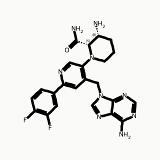 NC(=O)[C@@H]1[C@H](N)CCCN1c1cnc(-c2ccc(F)c(F)c2)cc1Cn1cnc2c(N)ncnc21